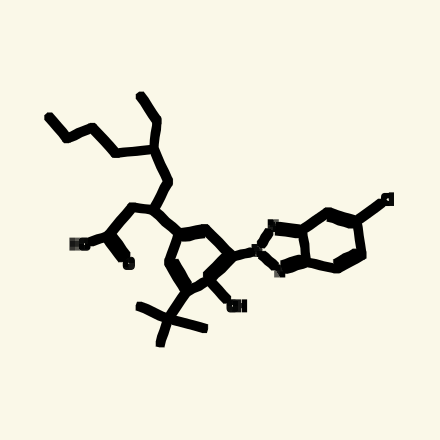 CCCCC(CC)CC(CC(=O)O)c1cc(-n2nc3ccc(Cl)cc3n2)c(O)c(C(C)(C)C)c1